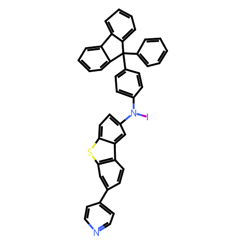 IN(c1ccc(C2(c3ccccc3)c3ccccc3-c3ccccc32)cc1)c1ccc2sc3cc(-c4ccncc4)ccc3c2c1